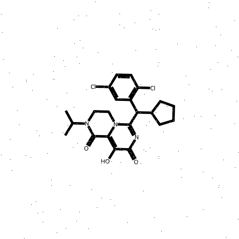 CC(C)N1CCn2c(C(c3cc(Cl)ccc3Cl)C3CCCC3)nc(=O)c(O)c2C1=O